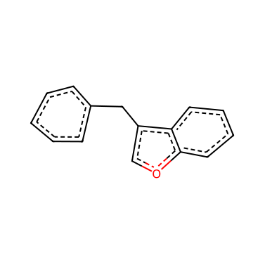 c1ccc(Cc2coc3ccccc23)cc1